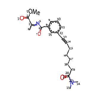 COC(=O)/C(C)=N/C(=O)c1cccc(C#CCCCCCC(=O)N(C)C)c1